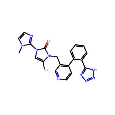 CCCCc1cn(-c2nccn2C)c(=O)n1Cc1cnccc1-c1ccccc1-c1nnn[nH]1